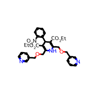 CCOC(=O)C1=C(COCc2cccnc2)NC(COCc2cccnc2)=C(C(=O)OCC)C1c1ccccc1[N+](=O)[O-]